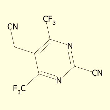 N#CCc1c(C(F)(F)F)nc(C#N)nc1C(F)(F)F